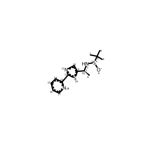 C[C@H](N[S+]([O-])C(C)(C)C)c1cnc(-c2ccccn2)s1